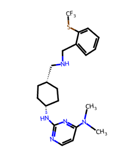 CN(C)c1ccnc(N[C@H]2CC[C@@H](CNCc3ccccc3SC(F)(F)F)CC2)n1